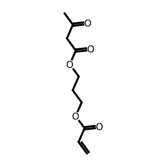 C=CC(=O)OCCCOC(=O)CC(C)=O